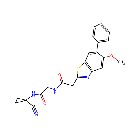 COc1cc2nc(CC(=O)NCC(=O)NC3(C#N)CC3)sc2cc1-c1ccccc1